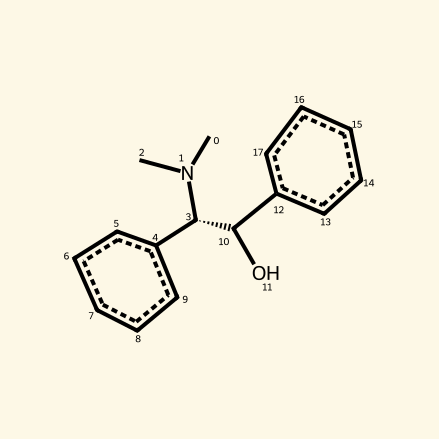 CN(C)[C@@H](c1ccccc1)C(O)c1ccccc1